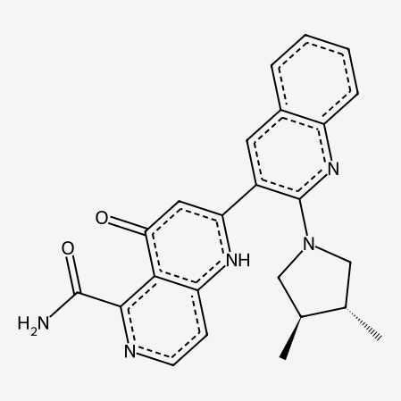 C[C@H]1CN(c2nc3ccccc3cc2-c2cc(=O)c3c(C(N)=O)nccc3[nH]2)C[C@@H]1C